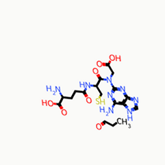 CCC=O.Nc1nc(N(CC(=O)O)C(=O)C(CS)NC(=O)CCC(N)C(=O)O)nc2nc[nH]c12